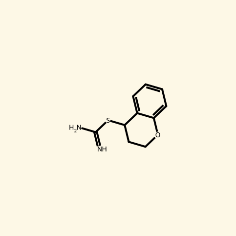 N=C(N)SC1CCOc2ccccc21